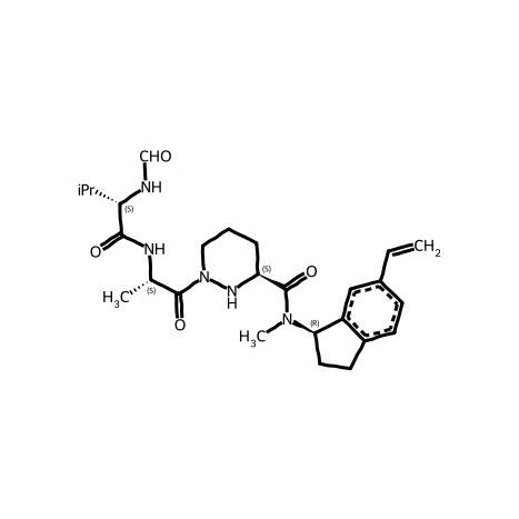 C=Cc1ccc2c(c1)[C@H](N(C)C(=O)[C@@H]1CCCN(C(=O)[C@H](C)NC(=O)[C@@H](NC=O)C(C)C)N1)CC2